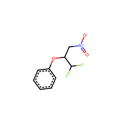 O=[N+]([O-])CC(Oc1ccccc1)C(F)F